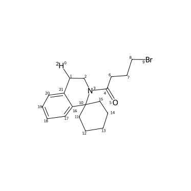 [2H]C1CN(C(=O)CCCBr)C2(CCCCC2)c2ccccc21